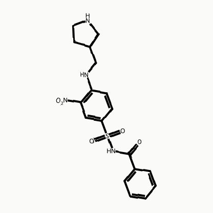 O=C(NS(=O)(=O)c1ccc(NCC2CCNC2)c([N+](=O)[O-])c1)c1ccccc1